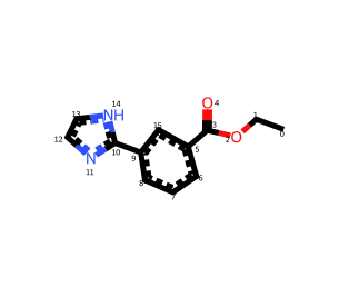 CCOC(=O)c1cccc(-c2ncc[nH]2)c1